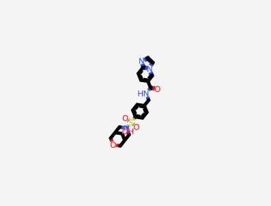 O=C(NCc1ccc(S(=O)(=O)N2CC3COCC(C2)C3O)cc1)c1ccc2nccn2c1